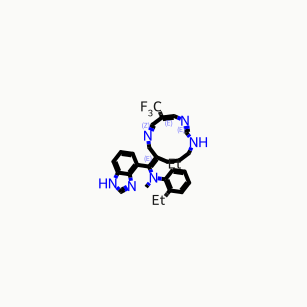 CCc1cccc(CC)c1N(C)/C(=C1\CCCN/C=N/C=C(C(F)(F)F)\C=N/C1)c1cccc2[nH]cnc12